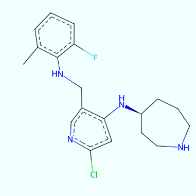 Cc1cccc(F)c1NCc1cnc(Cl)cc1N[C@H]1CCCNCC1